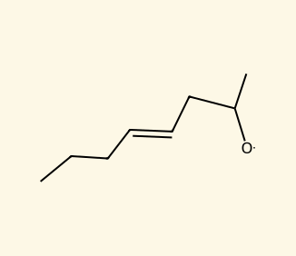 CCCC=CCC(C)[O]